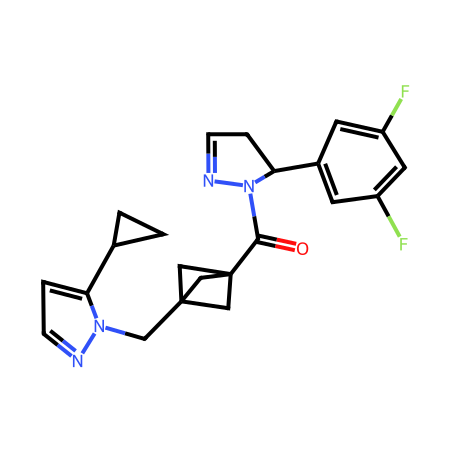 O=C(N1N=CCC1c1cc(F)cc(F)c1)C12CC(Cn3nccc3C3CC3)(C1)C2